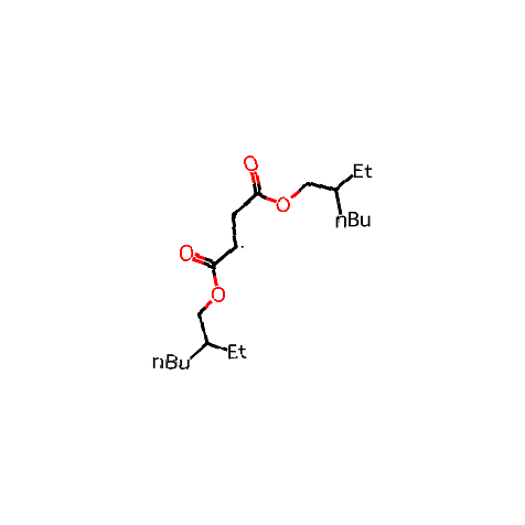 CCCCC(CC)COC(=O)[CH]CC(=O)OCC(CC)CCCC